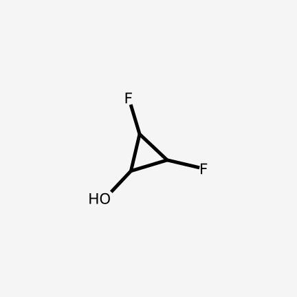 OC1C(F)C1F